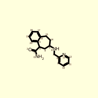 NC(=O)C1CC(NCc2ccccn2)CCc2cc[c]cc21